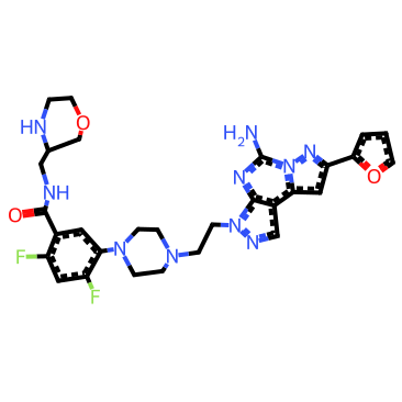 Nc1nc2c(cnn2CCN2CCN(c3cc(C(=O)NCC4COCCN4)c(F)cc3F)CC2)c2cc(-c3ccco3)nn12